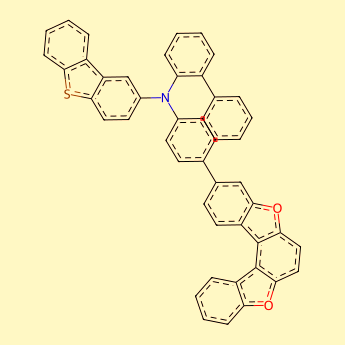 c1ccc(-c2ccccc2N(c2ccc(-c3ccc4c(c3)oc3ccc5oc6ccccc6c5c34)cc2)c2ccc3sc4ccccc4c3c2)cc1